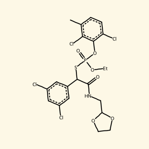 CCOP(=O)(Oc1c(Cl)ccc(C)c1Cl)SC(C(=O)NCC1OCCO1)c1cc(Cl)cc(Cl)c1